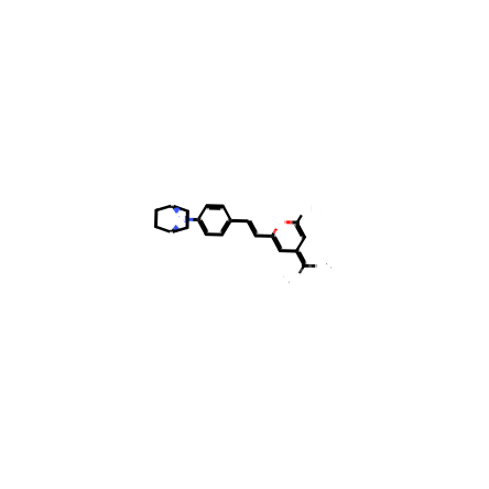 CC1=CC(=C(C#N)C#N)C=C(/C=C/c2ccc(N3C4CCC3CC4)cc2)O1